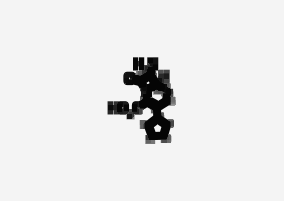 NC1C(=O)N2C(C(=O)O)=C(C3CCCC3)CS[C@H]12